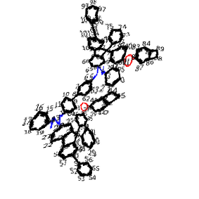 C1=CCC(N(c2ccc(-c3ccc(N(c4ccccc4)c4ccc5c(c4)[C@@](c4ccccc4)(c4ccc(Oc6ccc7c(c6)CC7)cc4)c4cc(-c6ccccc6)ccc4-5)cc3)cc2)c2ccc3c(c2)C(c2ccccc2)(c2ccc(Oc4ccc5c(c4)CC5)cc2)c2cc(-c4ccccc4)ccc2-3)C=C1